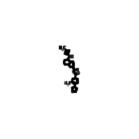 Cc1cc(-c2nc(-c3ccc4c(c3)CCCC4N[C@H]3C[C@H](C)C3)no2)ccc1-c1ccoc1